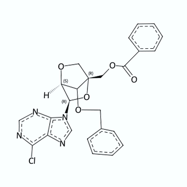 O=C(OC[C@]12CO[C@@H](C1OCc1ccccc1)[C@H](n1cnc3c(Cl)ncnc31)O2)c1ccccc1